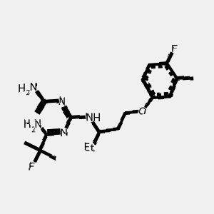 C=C(N)/N=C(\N=C(/N)C(C)(C)F)NC(CC)CCOc1ccc(F)c(C)c1